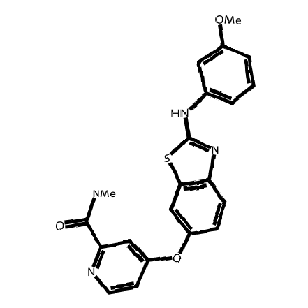 CNC(=O)c1cc(Oc2ccc3nc(Nc4cccc(OC)c4)sc3c2)ccn1